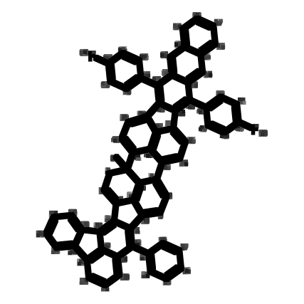 CC12CC=c3c4c1c(ccc4c1c(-c4ccccc4)c4cccc5c6ccccc6c(c31)c45)-c1ccc3c4c(ccc2c14)-c1c-3c(-c2ccc(F)cc2)c2cc3ccccc3cc2c1-c1ccc(F)cc1